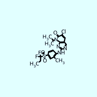 CCC(F)(F)S(=O)(=O)c1ccc(Nc2ncc3cc(Cl)c(=O)n(C(C)C)c3n2)c(C)c1